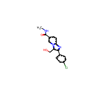 CNC(=O)c1ccc2nc(-c3ccc(Cl)cc3)c(CO)n2c1